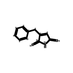 O=C1C=C(Cc2ccccc2)C(=O)N1